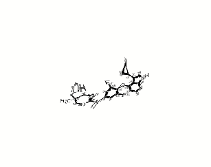 C[C@]1(CO)CN=C(Nc2cc(F)c(Oc3ccnc4[nH]cc(C5CC5)c34)c(F)c2)OC1